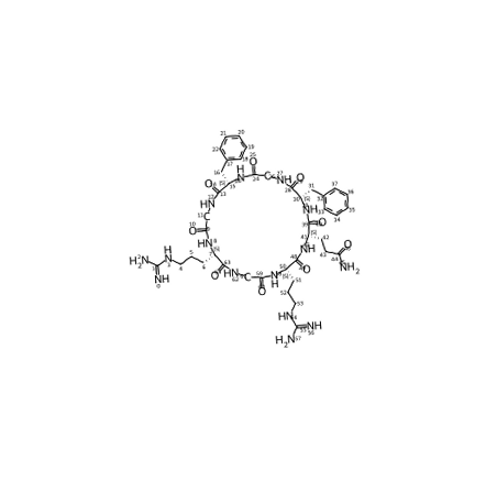 N=C(N)NCCC[C@@H]1NC(=O)CNC(=O)[C@H](Cc2ccccc2)NC(=O)CNC(=O)[C@H](Cc2ccccc2)NC(=O)[C@H](CCC(N)=O)NC(=O)[C@H](CCCNC(=N)N)NC(=O)CNC1=O